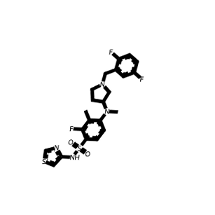 Cc1c(N(C)C2CCN(Cc3cc(F)ccc3F)C2)ccc(S(=O)(=O)Nc2cscn2)c1F